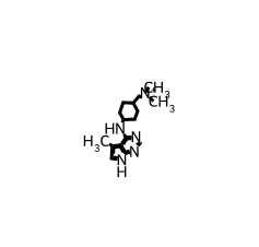 Cc1c[nH]c2ncnc(NC3CCC(C=[N+](C)C)CC3)c12